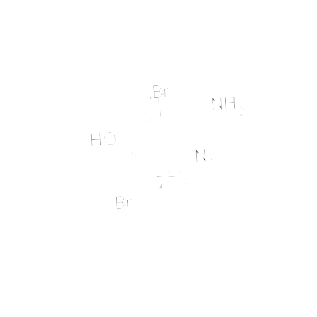 Nc1ncc(Br)c(O)c1Br